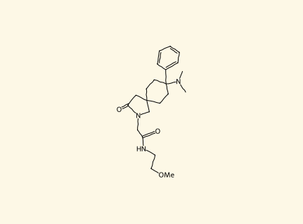 COCCNC(=O)CN1CC2(CCC(c3ccccc3)(N(C)C)CC2)CC1=O